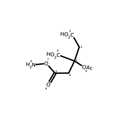 CC(=O)OC(CC(=O)O)(CC(=O)ON)C(=O)O